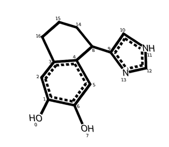 Oc1cc2c(cc1O)C(c1c[nH]cn1)CCC2